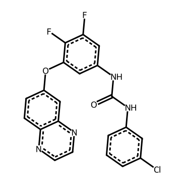 O=C(Nc1cccc(Cl)c1)Nc1cc(F)c(F)c(Oc2ccc3nccnc3c2)c1